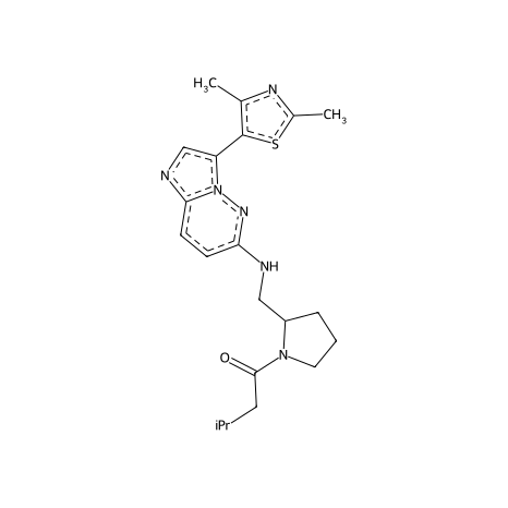 Cc1nc(C)c(-c2cnc3ccc(NCC4CCCN4C(=O)CC(C)C)nn23)s1